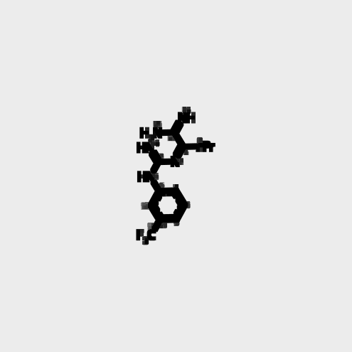 CCCC(=NC(=N)Nc1cccc(C(F)(F)F)c1)C(=N)N